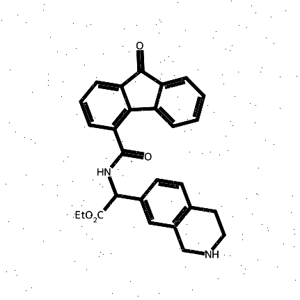 CCOC(=O)C(NC(=O)c1cccc2c1-c1ccccc1C2=O)c1ccc2c(c1)CNCC2